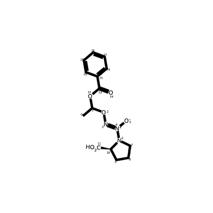 CC(ON=[N+]([O-])N1CCC[C@H]1C(=O)O)OC(=O)c1ccccc1